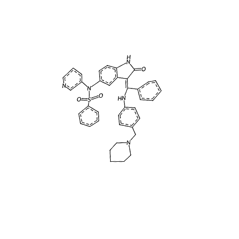 O=C1Nc2ccc(N(c3cccnc3)S(=O)(=O)c3ccccc3)cc2C1=C(Nc1ccc(CN2CCCCC2)cc1)c1ccccc1